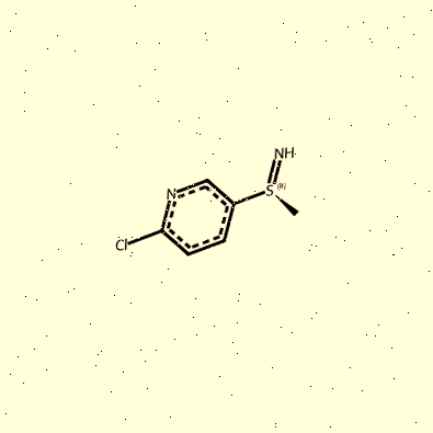 C[S@](=N)c1ccc(Cl)nc1